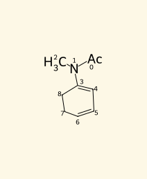 CC(=O)N(C)C1=CC=CCC1